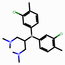 Cc1ccc(B(c2ccc(C)c(Cl)c2)C(CN(C)C)CN(C)C)cc1Cl